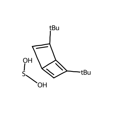 CC(C)(C)c1cc2cc(C(C)(C)C)c1-2.OSO